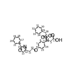 O=C(O)CN(c1ccc(OCCc2coc(-c3ccccc3)n2)cc1)S(=O)(=O)Cc1ccccc1